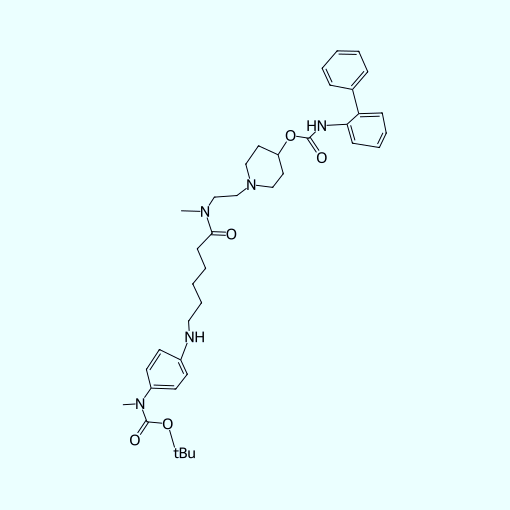 CN(CCN1CCC(OC(=O)Nc2ccccc2-c2ccccc2)CC1)C(=O)CCCCCNc1ccc(N(C)C(=O)OC(C)(C)C)cc1